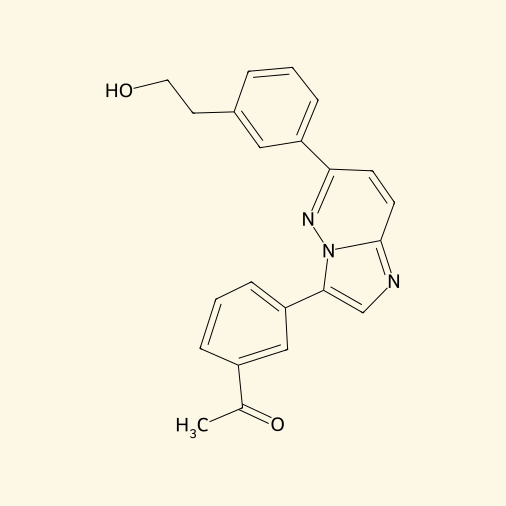 CC(=O)c1cccc(-c2cnc3ccc(-c4cccc(CCO)c4)nn23)c1